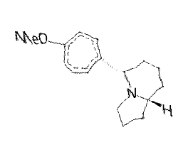 COc1ccc([C@@H]2CCC[C@@H]3CCCN32)cc1